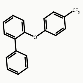 FC(F)(F)c1ccc(Oc2c[c]ccc2-c2ccccc2)cc1